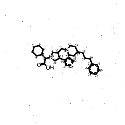 O=C(O)C(C1CCCCC1)N1CC(CN2CCC(CCCc3ccccc3)CC2)C(c2ccsc2)C1